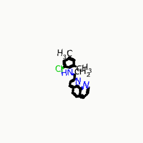 C=C(Nc1c(C)cc(C)cc1Cl)c1ccc2ccc3cccnc3c2n1